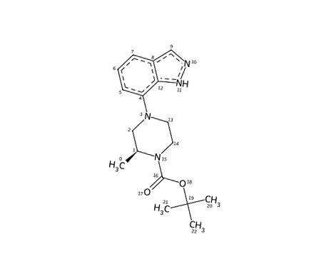 C[C@H]1CN(c2cccc3cn[nH]c23)CCN1C(=O)OC(C)(C)C